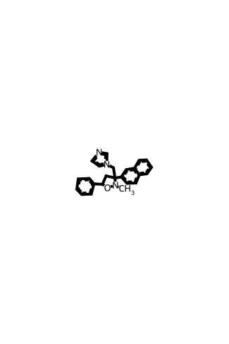 CN1OC(c2ccccc2)CC1(Cn1ccnc1)c1ccc2ccccc2c1